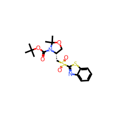 CC(C)(C)OC(=O)N1[C@@H](CS(=O)(=O)c2nc3ccccc3s2)COC1(C)C